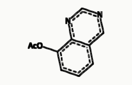 CC(=O)Oc1cccc2cncnc12